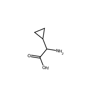 NC(C(=O)O)C1CC1